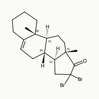 C[C@]12CCCCC1=CC[C@@H]1[C@@H]2CC[C@]2(C)C(=O)C(Br)(Br)C[C@@H]12